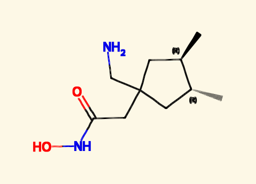 C[C@@H]1CC(CN)(CC(=O)NO)C[C@H]1C